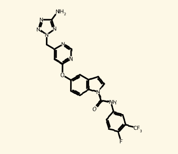 Nc1nnn(Cc2cc(Oc3ccc4c(ccn4C(=O)Nc4ccc(F)c(C(F)(F)F)c4)c3)ncn2)n1